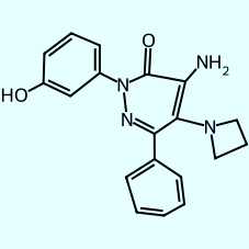 Nc1c(N2CCC2)c(-c2ccccc2)nn(-c2cccc(O)c2)c1=O